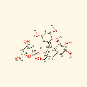 COC1=CC(OC)CC([C@H]2c3c(cc(OC)c(O)c3OC)C[C@@H](CO)[C@@H]2CO[C@H]2C[C@@H](O)C[C@@H](C=O)O2)=C1